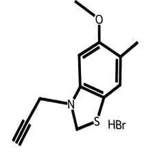 Br.C#CCN1CSc2cc(C)c(OC)cc21